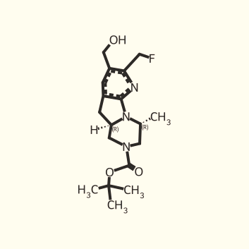 C[C@@H]1CN(C(=O)OC(C)(C)C)C[C@H]2Cc3cc(CO)c(CF)nc3N21